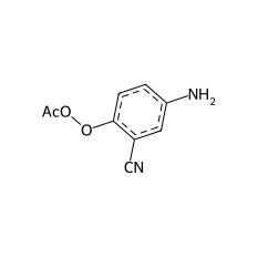 CC(=O)OOc1ccc(N)cc1C#N